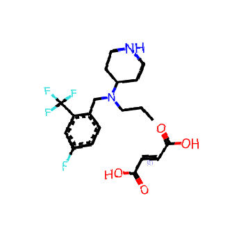 CCCN(Cc1ccc(F)cc1C(F)(F)F)C1CCNCC1.O=C(O)/C=C/C(=O)O